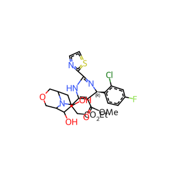 CCOC(=O)CC1(O)CC2COCC(C1O)N2CC1=C(C(=O)OC)[C@H](c2ccc(F)cc2Cl)N=C(c2nccs2)N1